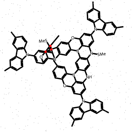 CSN1c2cc3c(cc2B2c4cc5c(cc4Oc4cc(-n6c7ccc(C)cc7c7cc(C)ccc76)cc1c42)N(SC)c1cc(-n2c4ccc(C)cc4c4cc(C)ccc42)cc2c1B5c1cc(C)ccc1O2)B1c2cc(C)ccc2Oc2cc(-n4c5ccc(C)cc5c5cc(C)ccc54)cc(c21)N3